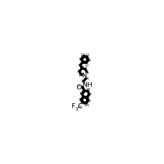 O=C(NCCN1CCC(Cc2ccccc2)CC1)C1=Cc2cc(C(F)(F)F)ccc2CC1